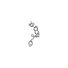 Cc1ncc(-c2cc3cc(NC(=O)CCN4CCOCC4)ncc3cn2)o1